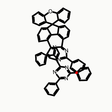 c1ccc(-c2nc(-c3ccccc3)nc(-c3ccc(-c4cccc5c4-c4c(-c6nc(-c7ccccc7)nc(-c7ccccc7)n6)cccc4C54c5ccccc5Oc5ccccc54)cc3)n2)cc1